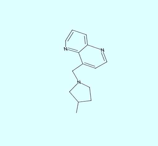 CC1CCN(Cc2ccnc3cccnc23)C1